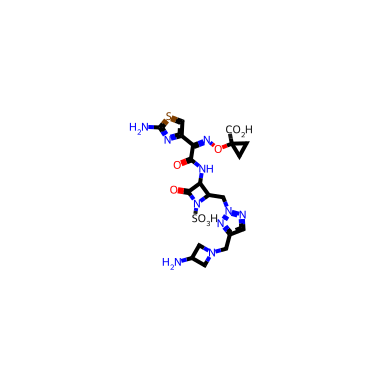 Nc1nc(/C(=N/OC2(C(=O)O)CC2)C(=O)NC2C(=O)N(S(=O)(=O)O)C2Cn2ncc(CN3CC(N)C3)n2)cs1